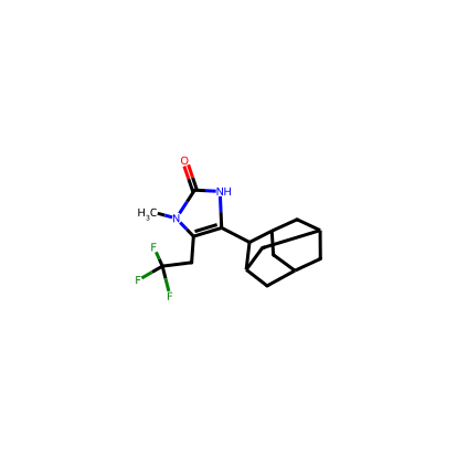 Cn1c(CC(F)(F)F)c(C2C3CC4CC(C3)CC2C4)[nH]c1=O